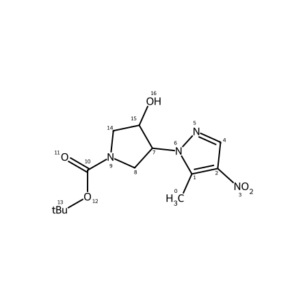 Cc1c([N+](=O)[O-])cnn1C1CN(C(=O)OC(C)(C)C)CC1O